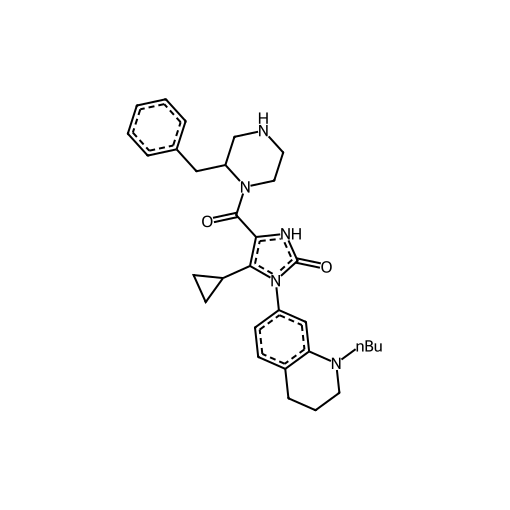 CCCCN1CCCc2ccc(-n3c(C4CC4)c(C(=O)N4CCNCC4Cc4ccccc4)[nH]c3=O)cc21